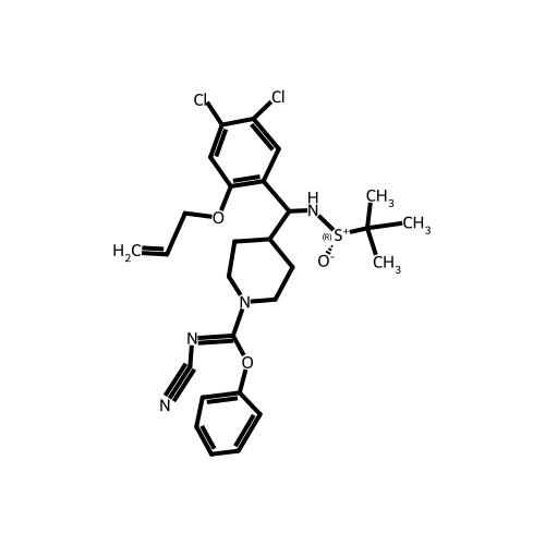 C=CCOc1cc(Cl)c(Cl)cc1C(N[S@@+]([O-])C(C)(C)C)C1CCN(C(=NC#N)Oc2ccccc2)CC1